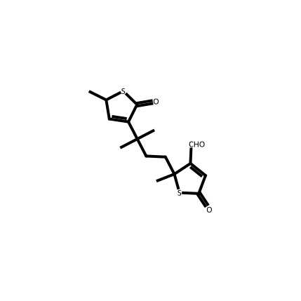 CC1C=C(C(C)(C)CCC2(C)SC(=O)C=C2C=O)C(=O)S1